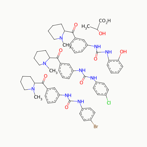 CC(O)C(=O)O.CN1CCCCC1C(=O)c1cccc(NC(=O)Nc2ccc(Br)cc2)c1.CN1CCCCC1C(=O)c1cccc(NC(=O)Nc2ccc(Cl)cc2)c1.CN1CCCCC1C(=O)c1cccc(NC(=O)Nc2ccccc2O)c1